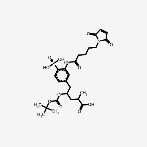 CC(CC(Cc1ccc(P(=O)(O)O)c(NC(=O)CCCCN2C(=O)C=CC2=O)c1)NC(=O)OC(C)(C)C)C(=O)O